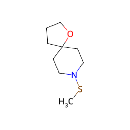 CSN1CCC2(CCCO2)CC1